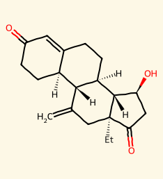 C=C1C[C@]2(CC)C(=O)C[C@H](O)[C@H]2[C@@H]2CCC3=CC(=O)CC[C@@H]3[C@@H]12